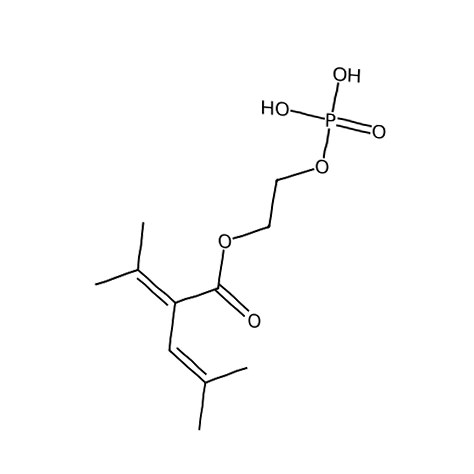 CC(C)=CC(C(=O)OCCOP(=O)(O)O)=C(C)C